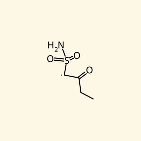 CCC(=O)[CH]S(N)(=O)=O